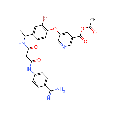 CC(NC(=O)CC(=O)Nc1ccc(C(=N)N)cc1)c1ccc(Oc2cncc(C(=O)OC(=O)C(F)(F)F)c2)c(Br)c1